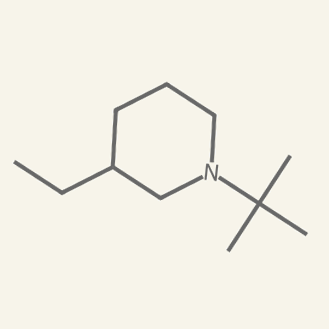 CCC1CCCN(C(C)(C)C)C1